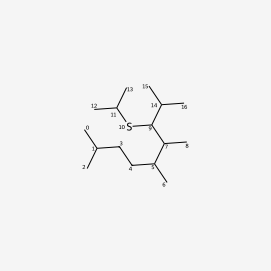 CC(C)CCC(C)C(C)C(SC(C)C)C(C)C